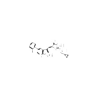 Cc1ccccc1-c1cnc2[nH]cc(/C=C3\N=C(NCC4CC4)NC3=O)c2c1